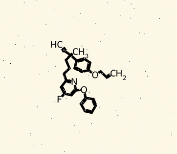 C#CC(C)(CCCc1cc(F)cc(Oc2ccccc2)n1)c1ccc(OCC=C)cc1